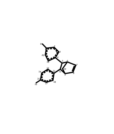 Cc1ccc([C]2C3C=CC(C3)C2c2ccc(C)cc2)cc1